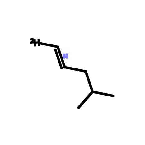 [2H]/C=C/CC(C)C